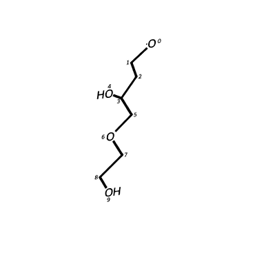 [O]CCC(O)COCCO